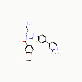 CNc1cc(-c2ccc3nc(N(CCCN)C(=O)c4ccc5c(c4)OCCO5)sc3c2)ccn1